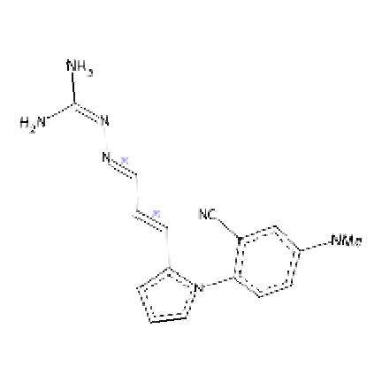 CNc1ccc(-n2cccc2/C=C/C=N/N=C(N)N)c(C#N)c1